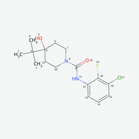 CC(C)(C)C1(O)CCN(C(=O)Nc2cccc(Cl)c2F)CC1